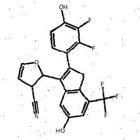 N#CC1C=COC1C1=C(c2ccc(O)c(F)c2F)Cc2c1cc(O)cc2C(F)(F)F